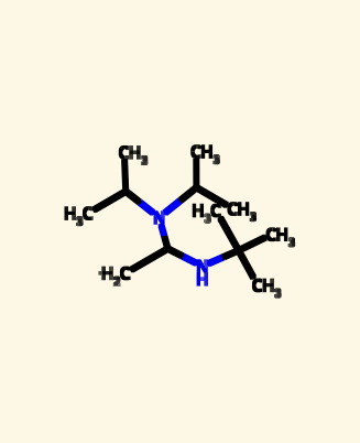 [CH2]C(NC(C)(C)C)N(C(C)C)C(C)C